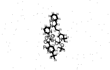 CC(C)(C)OC(=O)N1C[C@@H](CCC(Cc2ccccn2)Nc2cccc(S(=O)(=O)NC(=O)c3ccc(C(C)(C)C)nc3F)n2)CC1(C)C